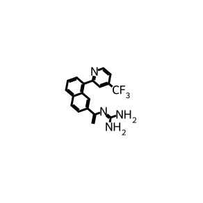 C=C(N=C(N)N)c1ccc2cccc(-c3cc(C(F)(F)F)ccn3)c2c1